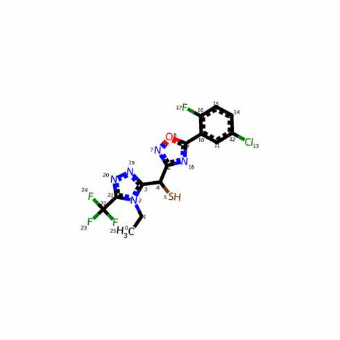 CCn1c(C(S)c2noc(-c3cc(Cl)ccc3F)n2)nnc1C(F)(F)F